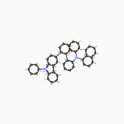 c1ccc(N(c2ccccc2-c2ccccc2-c2ccc3c(c2)c2ccccc2n3-c2ccccc2)c2cccc3ccccc23)cc1